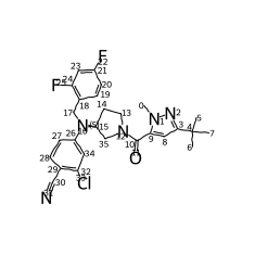 Cn1nc(C(C)(C)C)cc1C(=O)N1CC[C@H](N(Cc2ccc(F)cc2F)c2ccc(C#N)c(Cl)c2)C1